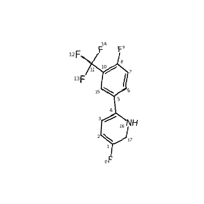 FC1=CC=C(c2ccc(F)c(C(F)(F)F)c2)NC1